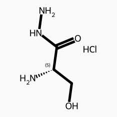 Cl.NNC(=O)[C@@H](N)CO